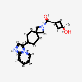 C[C@]1(O)C[C@@H](C(=O)N2CC3(CCC(c4cnc5ccccn45)CC3)C2)C1